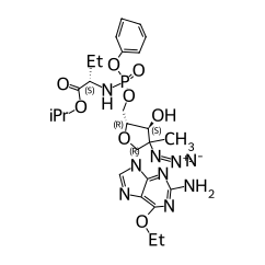 CCOc1nc(N)nc2c1ncn2[C@@H]1O[C@H](COP(=O)(N[C@@H](CC)C(=O)OC(C)C)Oc2ccccc2)[C@@H](O)C1(C)N=[N+]=[N-]